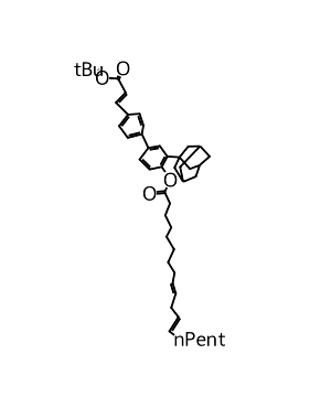 CCCCCC=CCC=CCCCCCCCC(=O)Oc1ccc(-c2ccc(C=CC(=O)OC(C)(C)C)cc2)cc1C12CC3CC(CC(C3)C1)C2